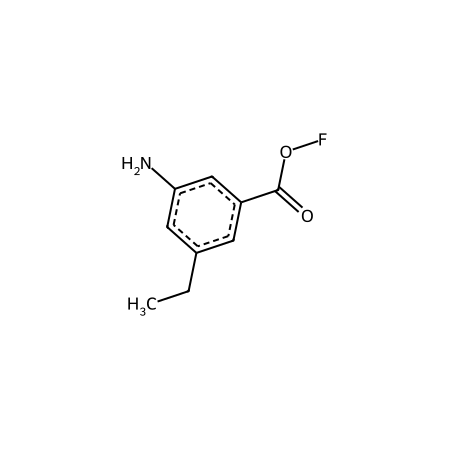 CCc1cc(N)cc(C(=O)OF)c1